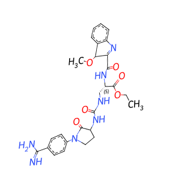 CCOC(=O)[C@H](CNC(=O)NC1CCN(c2ccc(C(=N)N)cc2)C1=O)NC(=O)C1=Nc2ccccc2C1OC